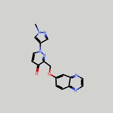 Cn1cc(-n2ccc(=O)c(COc3ccc4nccnc4c3)n2)cn1